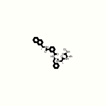 CCNC(=O)[C@@H](NC(=O)[C@H](C)NC[C@H](Cc1ccccc1)NC(=O)c1cccc(C(=O)N[C@H](C)c2ccc3ccccc3c2)c1)C(C)C